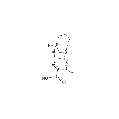 O=C(O)c1nc2c(cc1Cl)N1CCC[C@@H](C1)N2